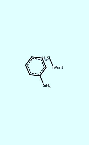 CCCCC[SiH3].[SiH3]c1ccccc1